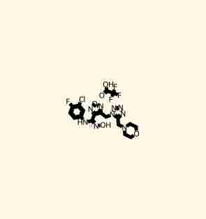 O/N=C(/Nc1ccc(F)c(Cl)c1)c1nonc1Cn1nnnc1CN1CCOCC1.O=C(O)C(F)(F)F